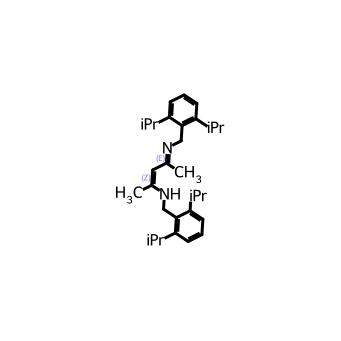 C/C(=C/C(C)=N/Cc1c(C(C)C)cccc1C(C)C)NCc1c(C(C)C)cccc1C(C)C